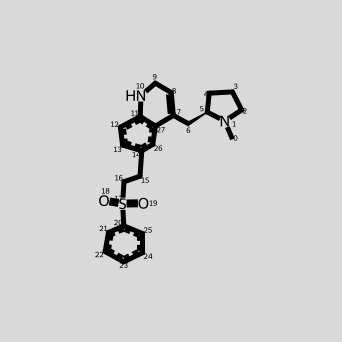 CN1CCC[C@@H]1CC1=CCNc2ccc(CCS(=O)(=O)c3ccccc3)cc21